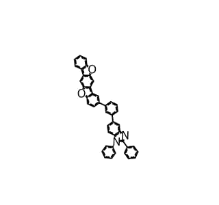 c1ccc(-c2nc3cc(-c4cccc(-c5ccc6oc7cc8c(cc7c6c5)oc5ccccc58)c4)ccc3n2-c2ccccc2)cc1